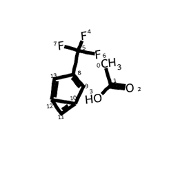 CC(=O)O.FC(F)(F)c1cc2cc-2c1